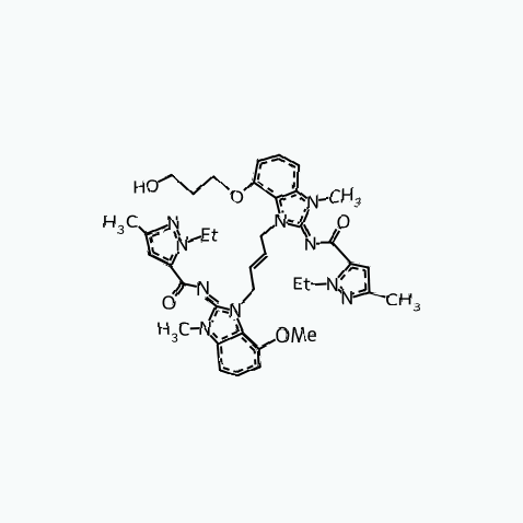 CCn1nc(C)cc1C(=O)/N=c1\n(C)c2cccc(OC)c2n1C/C=C/Cn1/c(=N/C(=O)c2cc(C)nn2CC)n(C)c2cccc(OCCCO)c21